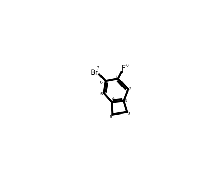 Fc1cc2c(cc1Br)CC2